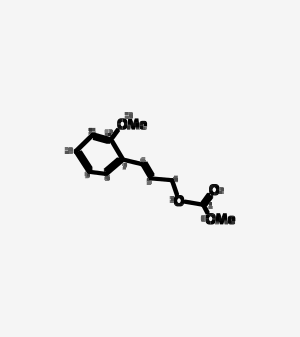 COC(=O)OCC=Cc1ccccc1OC